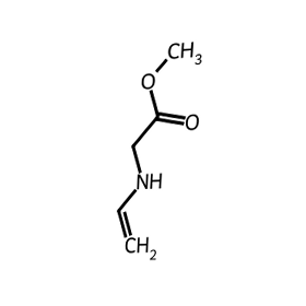 C=CNCC(=O)OC